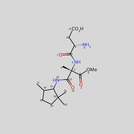 COC(=O)[C@@](C)(NC(=O)[C@@H](N)CC(=O)O)C(=O)NC1C(C)CCC1(C)C